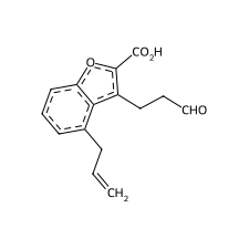 C=CCc1cccc2oc(C(=O)O)c(CCC=O)c12